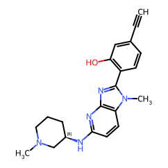 C#Cc1ccc(-c2nc3nc(N[C@@H]4CCCN(C)C4)ccc3n2C)c(O)c1